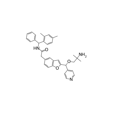 Cc1ccc(C(NC(=O)Cc2ccc3oc(C(OCC(C)(C)N)c4ccncc4)cc3c2)c2ccccc2)c(C)c1